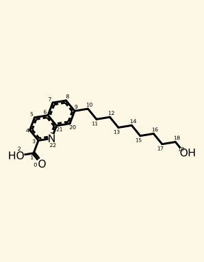 O=C(O)c1ccc2ccc(CCCCCCCCCO)cc2n1